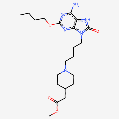 CCCCOc1nc(N)c2[nH]c(=O)n(CCCCN3CCC(CC(=O)OC)CC3)c2n1